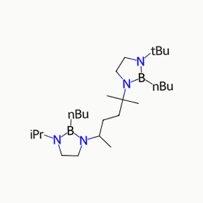 CCCCB1N(C(C)C)CCN1C(C)CCC(C)(C)N1CCN(C(C)(C)C)B1CCCC